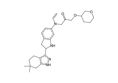 C=CN(CC(=O)COC1CCCOC1)c1ccc2c(c1)NC(c1n[nH]c3c1CCC(C)(C)C3)C2